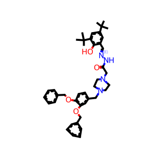 CC(C)(C)c1cc(/C=N/NC(=O)CN2CCN(Cc3ccc(OCc4ccccc4)c(OCc4ccccc4)c3)CC2)c(O)c(C(C)(C)C)c1